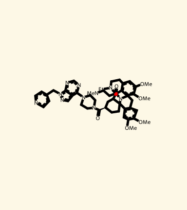 CCN1CCc2cc(OC)c(OC)cc2C1C1C[C@H](C(=O)N2CCN(c3ncnc4c3cnn4Cc3ccncc3)CC2)CCC12c1cc(OC)c(OC)cc1CCN2C(=O)CCNC